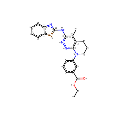 CCOC(=O)c1cccc(N2CCCc3c2nnc(Nc2nc4ccccc4s2)c3C)c1